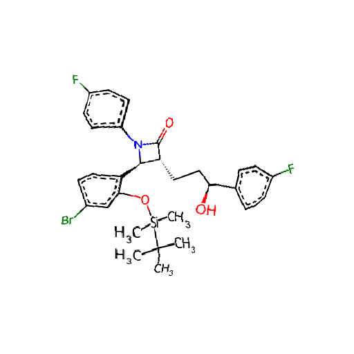 CC(C)(C)[Si](C)(C)Oc1cc(Br)ccc1[C@@H]1[C@@H](CC[C@H](O)c2ccc(F)cc2)C(=O)N1c1ccc(F)cc1